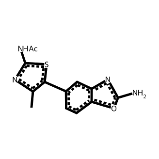 CC(=O)Nc1nc(C)c(-c2ccc3oc(N)nc3c2)s1